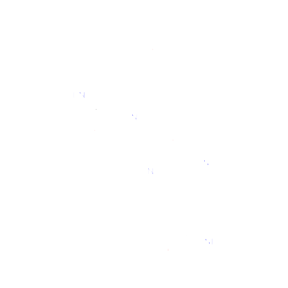 COc1cccc2c1cc(C(N)=O)n2[C@@H](Cc1ccccc1)C(=O)N[C@H](C#N)C[C@@H]1CCNC1=O